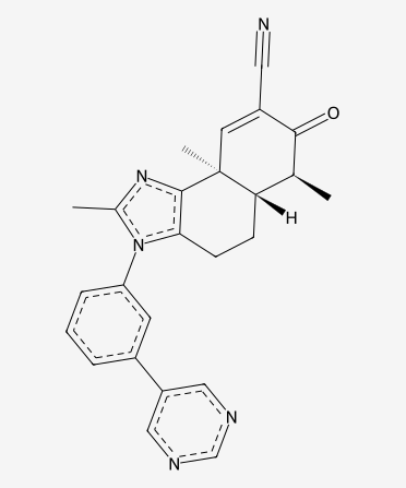 Cc1nc2c(n1-c1cccc(-c3cncnc3)c1)CC[C@H]1[C@H](C)C(=O)C(C#N)=C[C@]21C